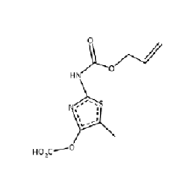 C=CCOC(=O)Nc1nc(OC(=O)O)c(C)s1